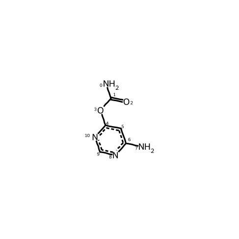 NC(=O)Oc1cc(N)ncn1